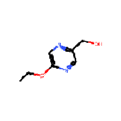 CCOc1cnc(CO)cn1